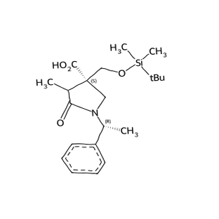 CC1C(=O)N([C@H](C)c2ccccc2)C[C@@]1(CO[Si](C)(C)C(C)(C)C)C(=O)O